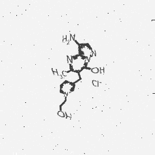 Cc1nc2c(N)cnn2c(O)c1Cc1ccc[n+](CCO)c1.[Cl-]